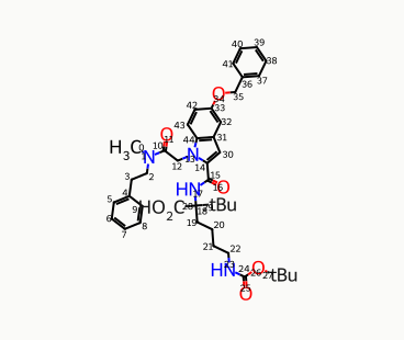 CN(CCc1ccccc1)C(=O)Cn1c(C(=O)NC(CCCCNC(=O)OC(C)(C)C)(C(=O)O)C(C)(C)C)cc2cc(OCc3ccccc3)ccc21